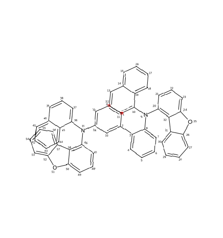 c1cc(-c2ccccc2N(c2cccc3ccccc23)c2cccc3oc4ccccc4c23)cc(N(c2cccc3ccccc23)c2cccc3oc4ccccc4c23)c1